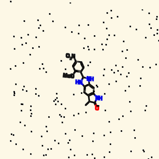 COc1cc([N+](=O)[O-])ccc1C1Nc2cc3c(cc2N1)C(C)C(=O)N3